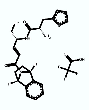 CC(C)C[C@@H](/C=C/C(=O)N1[C@@H]2CC[C@H]1c1ccccc12)NC(=O)[C@@H](N)Cc1cccs1.O=C(O)C(F)(F)F